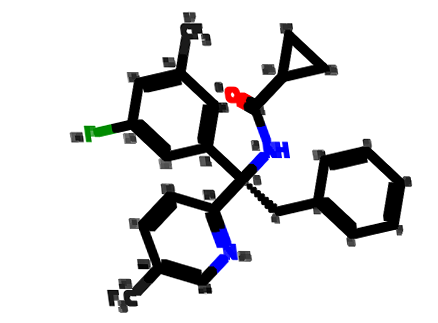 O=C(N[C@](Cc1ccccc1)(c1cc(F)cc(C(F)(F)F)c1)c1ccc(C(F)(F)F)cn1)C1CC1